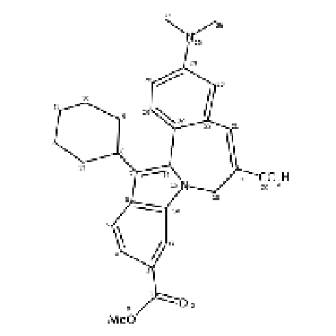 COC(=O)c1ccc2c(C3CCCCC3)c3n(c2c1)CC(C(=O)O)=Cc1cc(N(C)C)ccc1-3